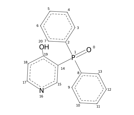 O=P(c1ccccc1)(c1ccccc1)c1cnccc1O